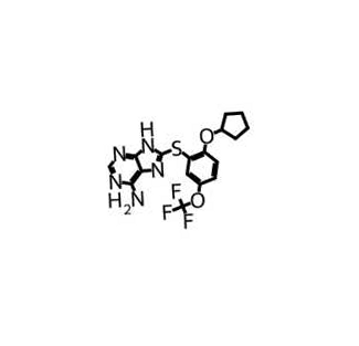 Nc1ncnc2[nH]c(Sc3cc(OC(F)(F)F)ccc3OC3CCCC3)nc12